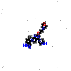 FC(F)(F)c1ccc2[nH]ncc2c1N1CCc2c(nc(OCCCN3CCOCC3)nc2N2CCNCC2)C1